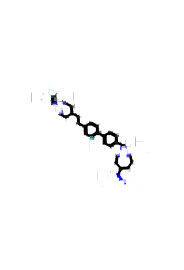 C=C(N)C1CCCN(C(=C)c2ccc(-c3ccc(CCC4CCN(CC(C)(C)F)CC4)cc3F)cc2)CC1